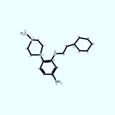 CN1CCN(c2ccc(N)cc2OCCC2CCCCC2)CC1